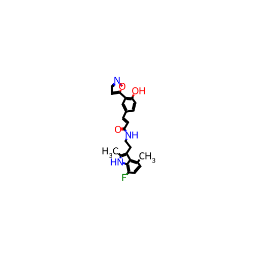 Cc1[nH]c2c(F)ccc(C)c2c1CCNC(=O)C=Cc1ccc(O)c(-c2ccno2)c1